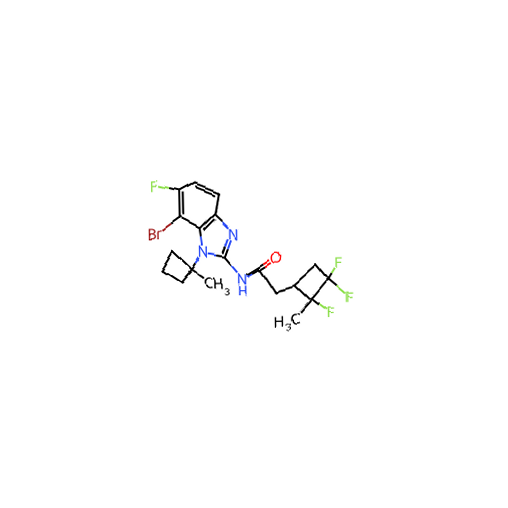 CC1(n2c(NC(=O)CC3CC(F)(F)C3(C)F)nc3ccc(F)c(Br)c32)CCC1